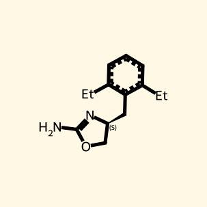 CCc1cccc(CC)c1C[C@H]1COC(N)=N1